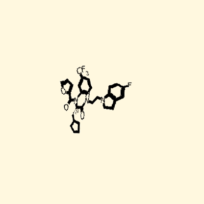 O=C(NCCN1CCc2cc(F)ccc21)[C@H](CC1CCCC1)N(C(=O)c1ccco1)c1cccc(C(F)(F)F)c1